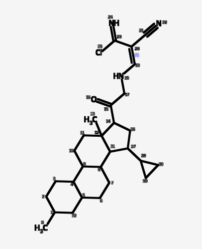 CC1CCC2C(CCC3C2CCC2(C)C(C(=O)CN/C=C(/C#N)C(=N)Cl)CC(C4CC4)C32)C1